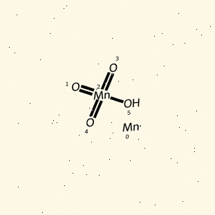 [Mn].[O]=[Mn](=[O])(=[O])[OH]